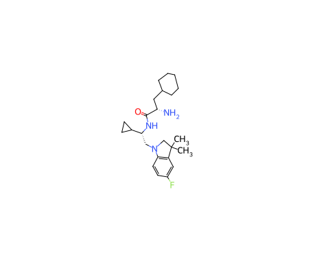 CC1(C)CN(C[C@@H](NC(=O)[C@@H](N)CC2CCCCC2)C2CC2)c2ccc(F)cc21